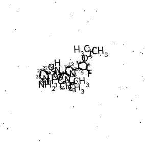 CC(C)COc1cc(F)cc(-c2ccc(C(=O)NS(=O)(=O)c3cccc(N)n3)c(N(C(C)C)C(C)C)n2)c1